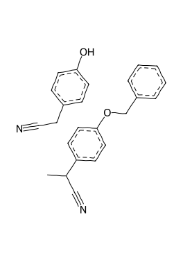 CC(C#N)c1ccc(OCc2ccccc2)cc1.N#CCc1ccc(O)cc1